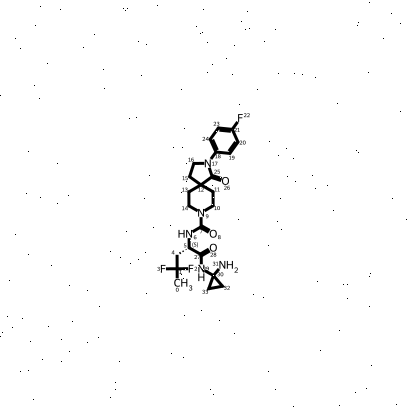 CC(F)(F)C[C@H](NC(=O)N1CCC2(CC1)CCN(c1ccc(F)cc1)C2=O)C(=O)NC1(N)CC1